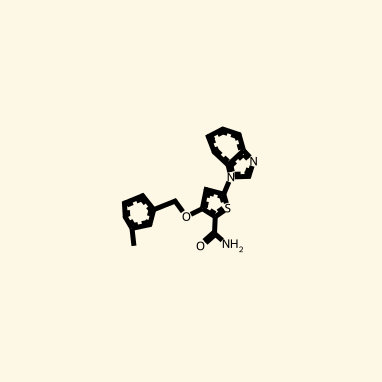 Cc1cccc(COc2cc(-n3cnc4ccccc43)sc2C(N)=O)c1